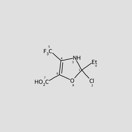 CCC1(Cl)NC(C(F)(F)F)=C(C(=O)O)O1